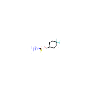 NNC(=S)OCC1CCC(F)(F)CC1